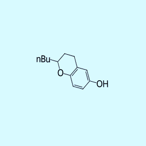 CCCCC1CCc2cc(O)ccc2O1